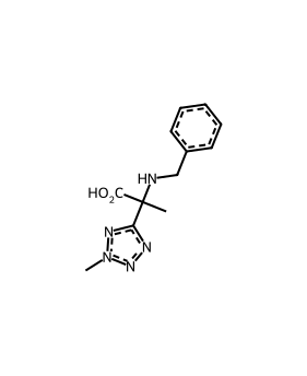 Cn1nnc(C(C)(NCc2ccccc2)C(=O)O)n1